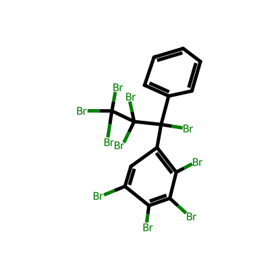 Brc1cc(C(Br)(c2ccccc2)C(Br)(Br)C(Br)(Br)Br)c(Br)c(Br)c1Br